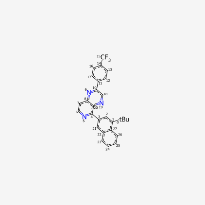 CC(C)(C)c1cc(-c2nccc3nc(-c4ccc(C(F)(F)F)cc4)cnc23)cc2ccccc12